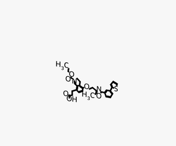 CCCOC(=O)N1CCc2c(OCCc3nc(-c4cccc(-c5cccs5)c4)oc3C)ccc(CCC(=O)O)c2C1